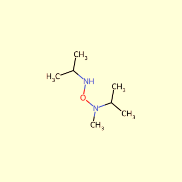 CC(C)NON(C)C(C)C